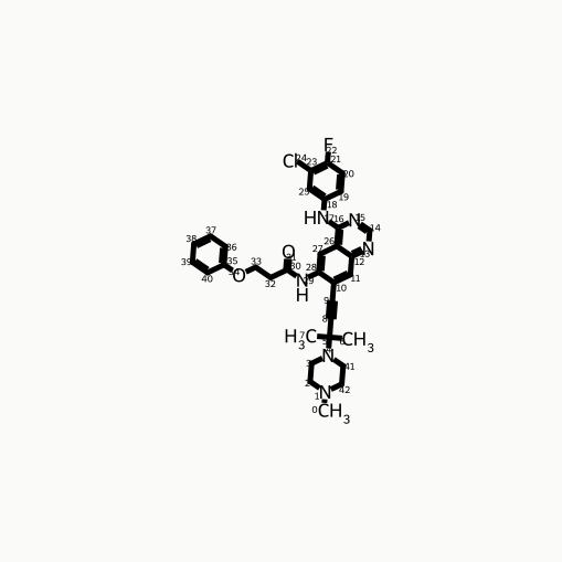 CN1CCN(C(C)(C)C#Cc2cc3ncnc(Nc4ccc(F)c(Cl)c4)c3cc2NC(=O)CCOc2ccccc2)CC1